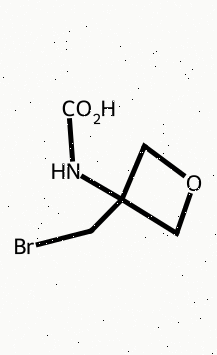 O=C(O)NC1(CBr)COC1